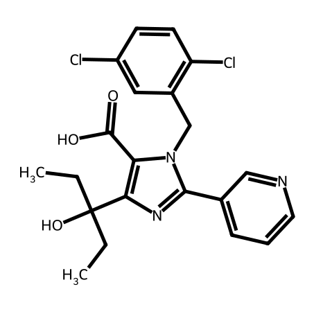 CCC(O)(CC)c1nc(-c2cccnc2)n(Cc2cc(Cl)ccc2Cl)c1C(=O)O